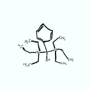 CC[Si](CC)(CC)C(O)(c1ccccc1)[Si](CC)(CC)CC